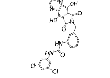 O=C(Nc1cc(Cl)cc(Cl)c1)Nc1cccc(CN2C(=O)c3c(c(O)c4nccnc4c3O)C2=O)c1